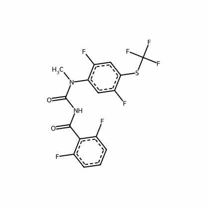 CN(C(=O)NC(=O)c1c(F)cccc1F)c1cc(F)c(SC(F)(F)F)cc1F